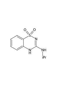 CC(C)NC1=NS(=O)(=O)c2ccccc2N1